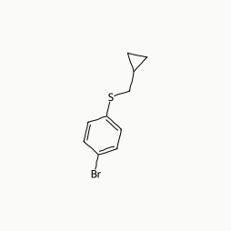 Brc1ccc(SCC2CC2)cc1